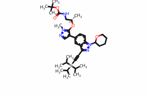 CC(C)[Si](C#Cc1nn(C2CCCCO2)c2ccc(-c3cnn(C)c3O[C@@H](C)CNC(=O)OC(C)(C)C)cc12)(C(C)C)C(C)C